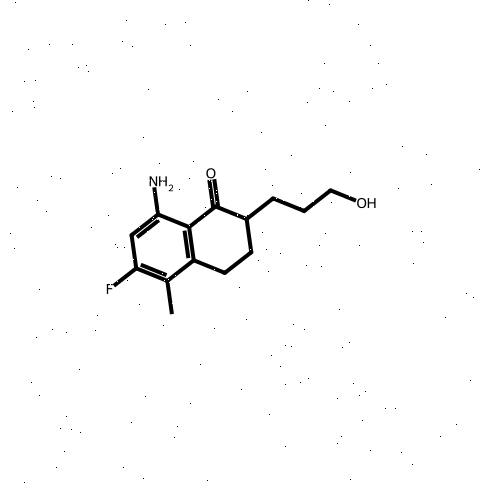 Cc1c(F)cc(N)c2c1CCC(CCCO)C2=O